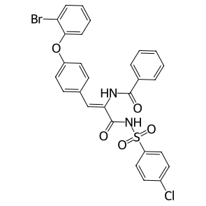 O=C(NS(=O)(=O)c1ccc(Cl)cc1)/C(=C/c1ccc(Oc2ccccc2Br)cc1)NC(=O)c1ccccc1